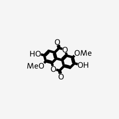 COc1c(O)cc2c(=O)oc3c(OC)c(O)cc4c(=O)oc1c2c34